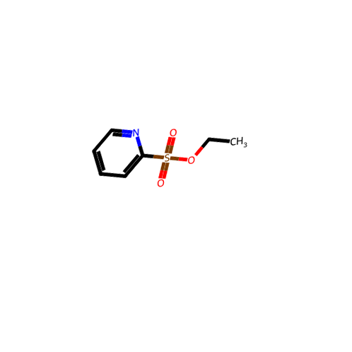 CCOS(=O)(=O)c1ccccn1